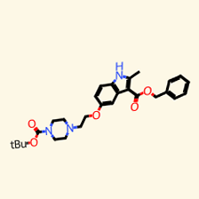 Cc1[nH]c2ccc(OCCN3CCN(C(=O)OC(C)(C)C)CC3)cc2c1C(=O)OCc1ccccc1